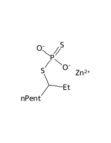 CCCCCC(CC)SP([O-])([O-])=S.[Zn+2]